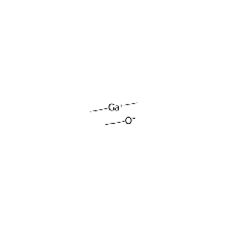 C[O-].[CH3][Ga+][CH3]